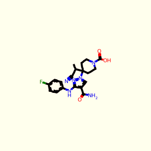 CC(C#N)C1(n2cc(C(N)=O)c(Nc3ccc(F)cc3)n2)CCN(C(=O)O)CC1